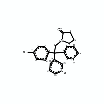 O=C1CCCN1CC(c1ccc(F)cc1)(c1cccnc1)c1cccnc1